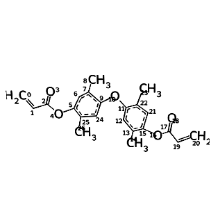 C=CC(=O)Oc1cc(C)c(Oc2cc(C)c(OC(=O)C=C)cc2C)cc1C